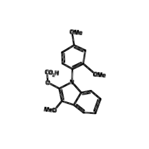 COc1ccc(-n2c(OC(=O)O)c(OC)c3ccccc32)c(OC)c1